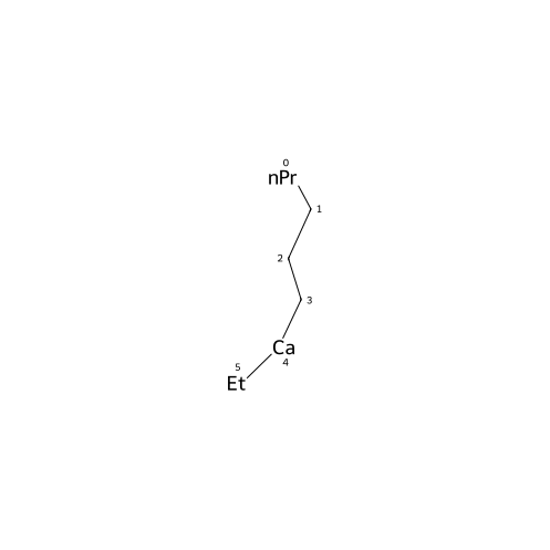 CCCCC[CH2][Ca][CH2]C